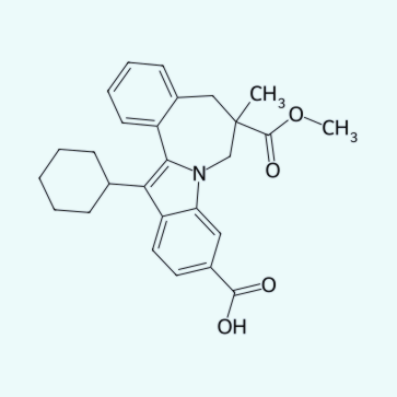 COC(=O)C1(C)Cc2ccccc2-c2c(C3CCCCC3)c3ccc(C(=O)O)cc3n2C1